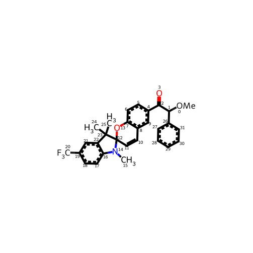 COC(C(=O)c1ccc2c(c1)C=CC1(O2)N(C)c2ccc(C(F)(F)F)cc2C1(C)C)c1ccccc1